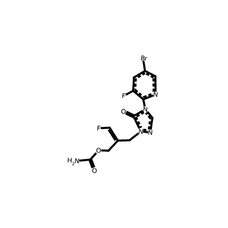 NC(=O)OCC(=CF)Cn1ncn(-c2ncc(Br)cc2F)c1=O